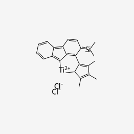 CC1=C(C)C(C)C(c2c3c(ccc2=[Si](C)C)=c2ccccc2=[C]3[Ti+2])=C1C.[Cl-].[Cl-]